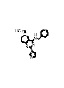 Cl.Cl.c1ccc(CNc2nc(-n3ccnc3)nc3c2CCCC3)cc1